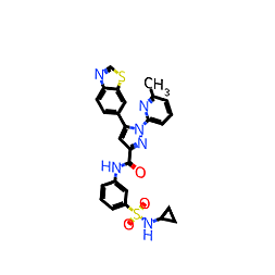 Cc1cccc(-n2nc(C(=O)Nc3cccc(S(=O)(=O)NC4CC4)c3)cc2-c2ccc3ncsc3c2)n1